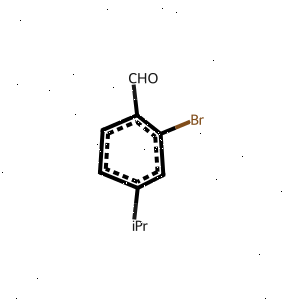 CC(C)c1ccc(C=O)c(Br)c1